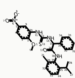 COc1ccc([N+](=O)[O-])cc1NC(=S)NC(C(=O)Nc1c(C)cccc1C(C)C)c1ccccc1